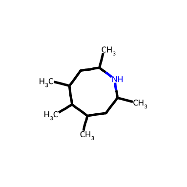 CC1CC(C)C(C)C(C)CC(C)N1